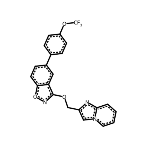 FC(F)(F)Oc1ccc(-c2ccc3onc(OCc4cn5ccccc5n4)c3c2)cc1